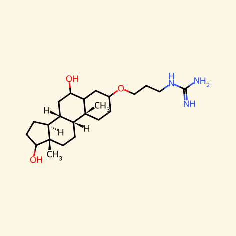 C[C@]12CCC(OCCCNC(=N)N)CC1C(O)C[C@@H]1[C@H]2CC[C@]2(C)C(O)CC[C@@H]12